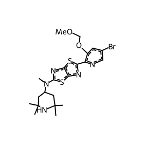 COCOc1cc(Br)cnc1-c1nc2sc(N(C)C3CC(C)(C)NC(C)(C)C3)nc2s1